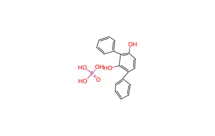 O=P(O)(O)O.Oc1ccc(-c2ccccc2)c(O)c1-c1ccccc1